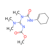 COC(=O)N=C(N(C)C)N(C)C(=O)NC1=CCCCC1